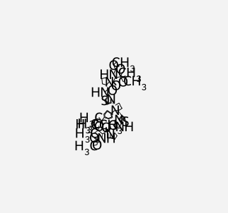 COC(=O)N[C@H](C(=O)N1CCC[C@H]1C(=O)Nc1nc([C@@H]2CC[C@@H](c3csc(NC(=O)[C@@H]4CCCN4C(=O)[C@@H](NC(=O)OC)[C@@H](C)OC)n3)N2c2ccc(C(C)(C)C)cc2)cs1)C(C)OC